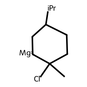 CC(C)C1CCC(C)(Cl)CC1.[Mg]